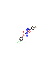 O=C(COc1ccc(Cl)cc1)Nc1nnc(-c2ccc(Br)cc2)o1